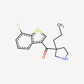 CCCC1(C(=O)c2csc3c(F)cccc23)CCNC1